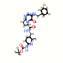 Cc1nc(NC(=O)OC(C)(C)C)ccc1CNC(=O)[C@@H]1CCc2ncc(NCc3cccc(F)c3)c(=O)n21